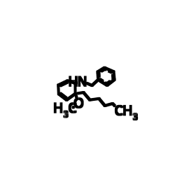 CCCCCCC1(OC)C=CC=CC1NCc1ccccc1